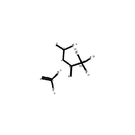 C=C(F)F.CC(F)CC(C)C(F)(F)F